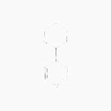 c1cc(C2COCC[N]2)ccn1